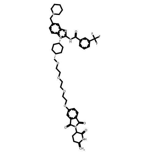 C=C1CCC(N2C(=O)c3ccc(OCCOCCOCCOC[C@H]4CC[C@@H](n5c(NC(=O)c6cccc(C(F)(F)F)c6)nc6cc(CN7CCCCC7)ccc65)CC4)cc3C2=O)C(=O)N1